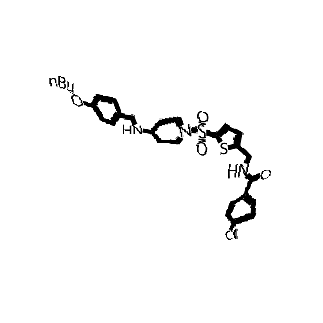 CCCCOc1ccc(CNC2CCN(S(=O)(=O)c3ccc(CNC(=O)c4ccc(Cl)cc4)s3)CC2)cc1